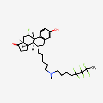 CN(CCCCC[C@@H]1Cc2cc(O)ccc2[C@@H]2[C@@H]1[C@@H]1CCC(=O)[C@@]1(C)C[C@@H]2F)CCCCC(F)(F)C(F)(F)C(F)(F)C(F)(F)F